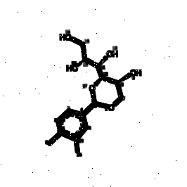 Cc1ccc(C2OC[C@H](O)[C@H]([C@H](O)[C@H](O)CO)O2)cc1C